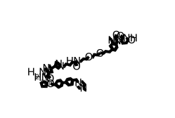 CN1CCN(Cc2ccc(-c3ccc(CO[C@H]4CCC[C@@H]4NC(=O)c4cc(-c5cnn(CCCCC(=O)NCCCOCCCOCCCc6ccc7c(c6)n(C)c(=O)n7C6CCC(=O)NC6=O)c5)cnc4N)cc3)cc2)CC1